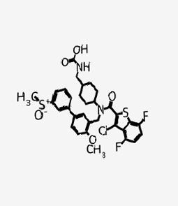 COc1ccc(-c2cccc([S+](C)[O-])c2)cc1CN(C(=O)c1sc2c(F)ccc(F)c2c1Cl)C1CCC(CNC(=O)O)CC1